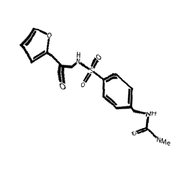 CNC(=O)Nc1ccc(S(=O)(=O)NC(=O)c2ccco2)cc1